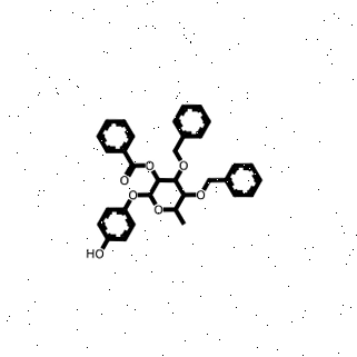 CC1OC(Oc2ccc(O)cc2)C(OC(=O)c2ccccc2)C(OCc2ccccc2)C1OCc1ccccc1